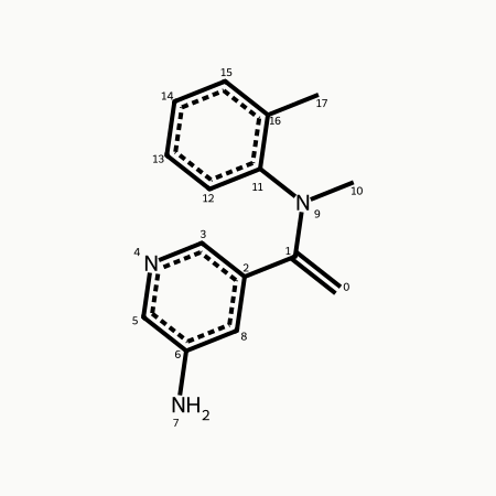 C=C(c1cncc(N)c1)N(C)c1ccccc1C